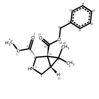 COC(=O)[C@H]1NC[C@H]2C(C)(C)[C@@]12C(=O)OCc1ccccc1